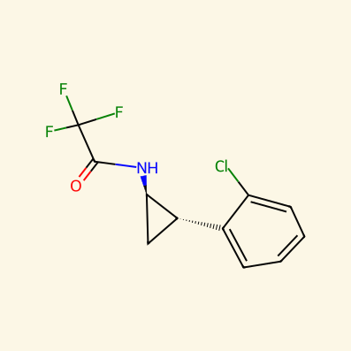 O=C(N[C@@H]1C[C@H]1c1ccccc1Cl)C(F)(F)F